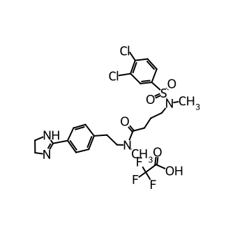 CN(CCc1ccc(C2=NCCN2)cc1)C(=O)CCCN(C)S(=O)(=O)c1ccc(Cl)c(Cl)c1.O=C(O)C(F)(F)F